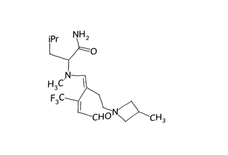 CC(C)CC(C(N)=O)N(C)/C=C(CCN1CC(C)C1)\C(=C/C=O)C(F)(F)F